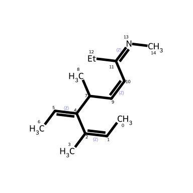 C/C=C(C)\C(=C/C)C(C)/C=C\C(CC)=N/C